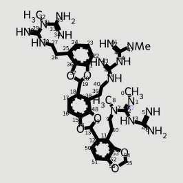 C/N=C(/NC(=N)N)N(C)CCc1c(C2Oc3ccc(C4Oc5cccc(CCNC(=N)N(C)C(=N)N)c5O4)c(CCNC(=N)NC(=N)NC)c3O2)ccc2c1OCO2